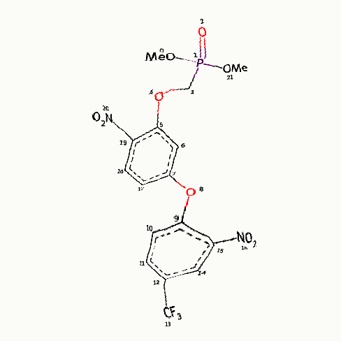 COP(=O)(COc1cc(Oc2ccc(C(F)(F)F)cc2[N+](=O)[O-])ccc1[N+](=O)[O-])OC